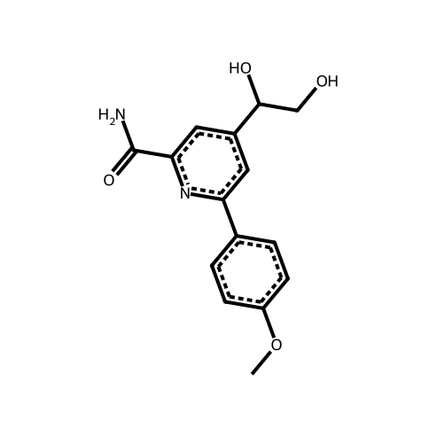 COc1ccc(-c2cc(C(O)CO)cc(C(N)=O)n2)cc1